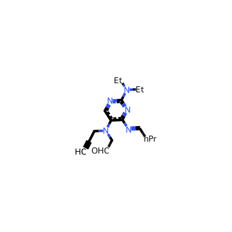 C#CCN(CC=O)c1cnc(N(CC)CC)nc1N=CCC[CH2]